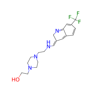 OCCN1CCN(CCNC=C2C=c3ccc(C(F)(F)F)cc3=NC2)CC1